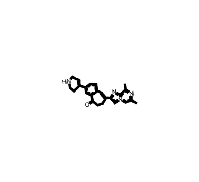 Cc1cn2cc(C3=Cc4ccc(C5=CCNCC5)cc4C(=O)CC3)nc2c(C)n1